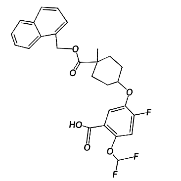 CC1(C(=O)OCc2cccc3ccccc23)CCC(Oc2cc(C(=O)O)c(OC(F)F)cc2F)CC1